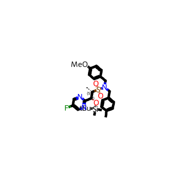 COc1ccc(CN(Cc2ccc(C)cc2)S(=O)(=O)[C@@H](C)[C@H](O[Si](C)(C)C(C)(C)C)c2ncc(F)cn2)cc1